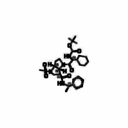 C[C@@H](NC(=O)[C@H]1CN(S(C)(=O)=O)[C@@H]2CCN(C(=O)[C@@H](NC(=O)OC(C)(C)C)C3CCCCC3)[C@H]12)c1ccccc1